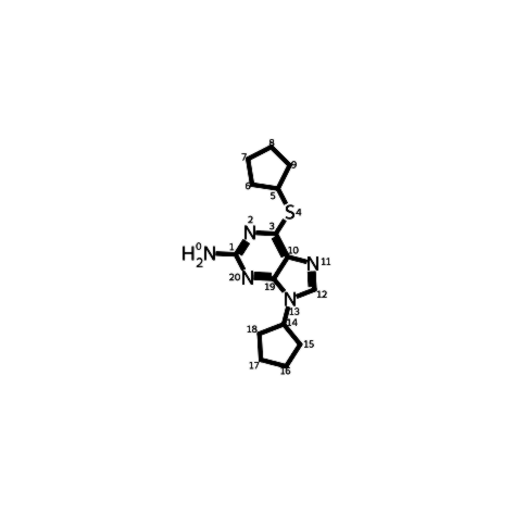 Nc1nc(SC2CCCC2)c2ncn(C3CCCC3)c2n1